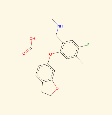 CNCc1cc(F)c(C)cc1Oc1ccc2c(c1)OCC2.O=CO